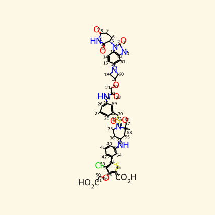 Cn1c(=O)n([C@@H]2CCC(=O)NC2=O)c2ccc(N3CC(OCC(=O)Nc4cccc(CS(=O)(=O)N5CC[C@H](Nc6cccc(-c7sc(C(=O)O)c(OCC(=O)O)c7Cl)c6)CC5(C)C)c4)C3)cc21